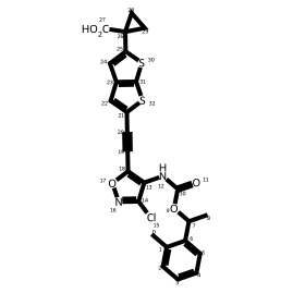 Cc1ccccc1C(C)OC(=O)Nc1c(Cl)noc1C#Cc1cc2cc(C3(C(=O)O)CC3)sc2s1